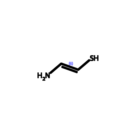 N/C=C/S